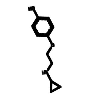 Oc1ccc(OCCNC2CC2)cc1